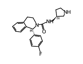 O=C(NC[C@H]1CCNC1)N1CCc2ccccc2[C@H]1c1ccc(F)cc1